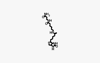 C=C(CCCCC1SCC2NC(=O)NC21)NCCCCCC(=O)NCCC(N)=O